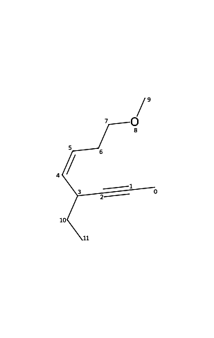 CC#CC(/C=C\CCOC)CC